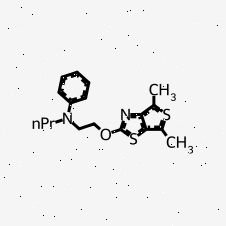 CCCN(CCOc1nc2c(C)sc(C)c2s1)c1ccccc1